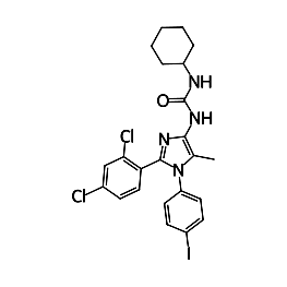 Cc1c(NC(=O)NC2CCCCC2)nc(-c2ccc(Cl)cc2Cl)n1-c1ccc(I)cc1